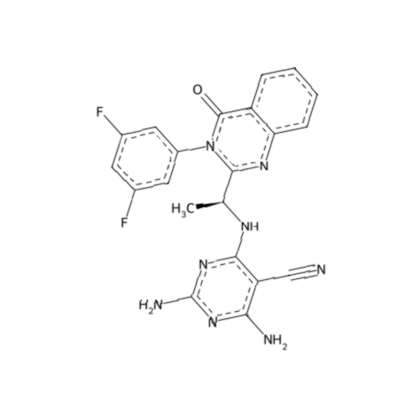 C[C@H](Nc1nc(N)nc(N)c1C#N)c1nc2ccccc2c(=O)n1-c1cc(F)cc(F)c1